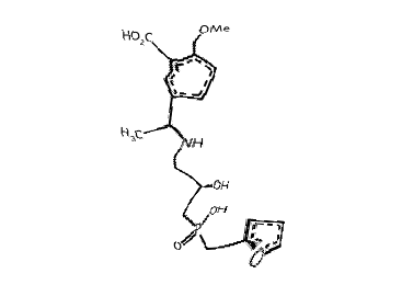 COc1ccc(C(C)NC[C@@H](O)CP(=O)(O)Cc2ccco2)cc1C(=O)O